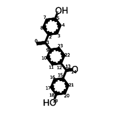 C=C(c1ccc(O)cc1)c1ccc(C(=O)c2ccc(O)cc2)cc1